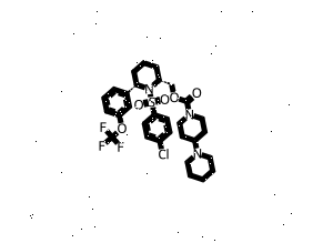 O=C(OC[C@H]1CCC[C@@H](c2cccc(OC(F)(F)F)c2)N1S(=O)(=O)c1ccc(Cl)cc1)N1CCC(N2CCCCC2)CC1